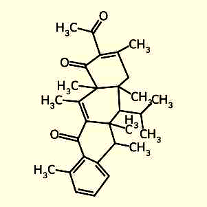 CC(=O)C1=C(C)CC2(C)C(C(C)C)C3(C)C(=C(C)C2(C)C1=O)C(=O)c1c(C)cccc1C3C